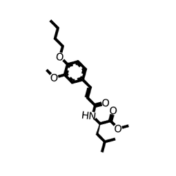 CCCCOc1ccc(/C=C/C(=O)N[C@H](CC(C)C)C(=O)OC)cc1OC